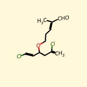 C=C(Cl)CC(/C=C/Cl)OCC/C=C(\C)C=O